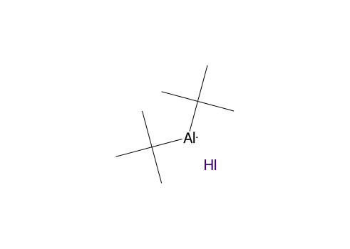 C[C](C)(C)[Al][C](C)(C)C.I